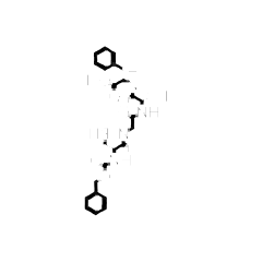 C[C@H](NC(=O)CNC(=O)[C@H](CS)NC(=O)OCc1ccccc1)C(=O)N[C@@H](Cc1ccccc1)C(=O)O